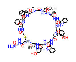 CCCC[C@H]1C(=O)N(C)CC(=O)NC(CC(=O)O)C(=O)N[C@@H](C(C)C)C(=O)N[C@@H](Cc2c[nH]c3ccccc23)C(=O)N[C@@H](Cc2ccc(O)cc2)C(=O)N(C)CC(=O)N[C@@H](Cc2c[nH]c3ccccc23)C(=O)N[C@@H](Cc2ccc(O)cc2)C(=O)N[C@@H](CC(C)C)C(=O)N[C@H](/C=C/C(=O)NCC(N)=O)CSCC(=O)N[C@@H](Cc2ccccc2)C(=O)N(C)[C@@H](Cc2ccccc2)C(=O)N1C